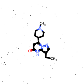 CCc1cnn2c(C3CCN(C)CC3)cc(=O)[nH]c12